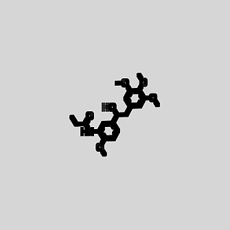 CCC(=O)Nc1cc(C(O)Cc2cc(OC)c(OC)c(OC)c2)ccc1OC